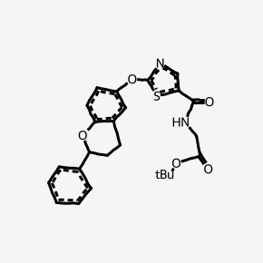 CC(C)(C)OC(=O)CNC(=O)c1cnc(Oc2ccc3c(c2)CCC(c2ccccc2)O3)s1